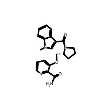 Cn1cc(C(=O)N2CCC[C@@H]2COc2cccnc2C(N)=O)c2ccccc21